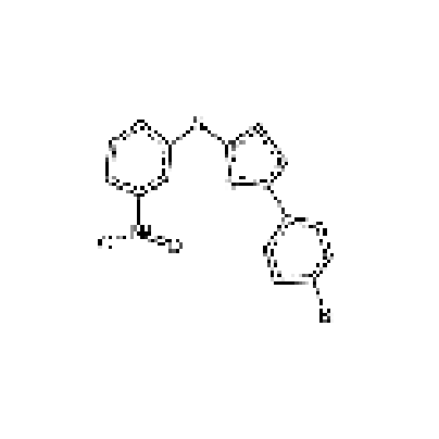 O=[N+]([O-])c1cccc(Sc2ccc(-c3ccc(Br)cc3)s2)c1